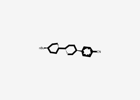 CCCC[C@H]1CC[C@H]([C@H]2CC[C@H](c3ccc(C#N)cc3)CC2)CC1